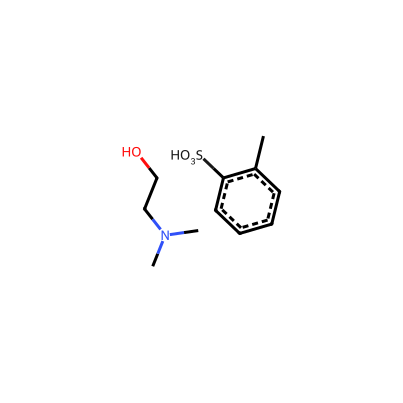 CN(C)CCO.Cc1ccccc1S(=O)(=O)O